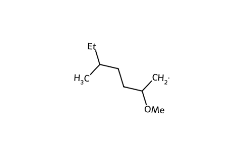 [CH2]C(CCC(C)CC)OC